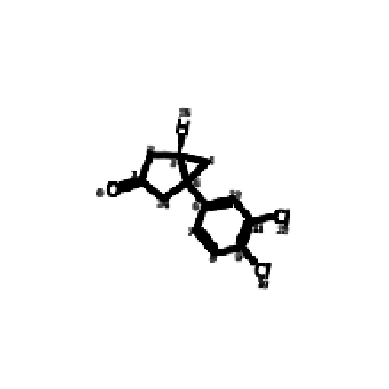 O=C1C[C@@H]2CC2(c2ccc(Cl)c(Cl)c2)C1